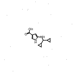 O=C(O)c1c[nH]c(NC(C2CC2)C2CC2)c1